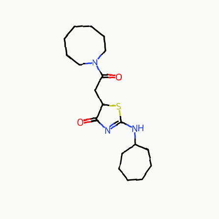 O=C1N=C(NC2CCCCCC2)SC1CC(=O)N1CCCCCCC1